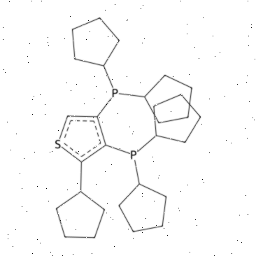 c1sc(C2CCCC2)c(P(C2CCCC2)C2CCCC2)c1P(C1CCCC1)C1CCCC1